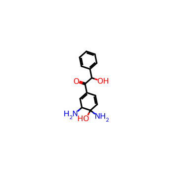 NC1C=C(C(=O)C(O)c2ccccc2)C=CC1(N)O